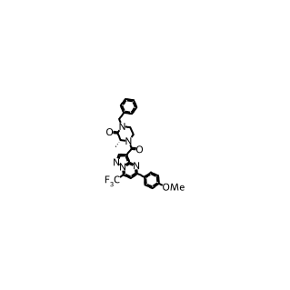 COc1ccc(-c2cc(C(F)(F)F)n3ncc(C(=O)N4CCN(Cc5ccccc5)C(=O)[C@H]4C)c3n2)cc1